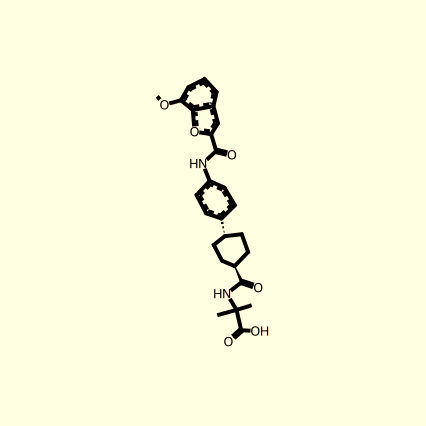 COc1cccc2cc(C(=O)Nc3ccc([C@H]4CC[C@H](C(=O)NC(C)(C)C(=O)O)CC4)cc3)oc12